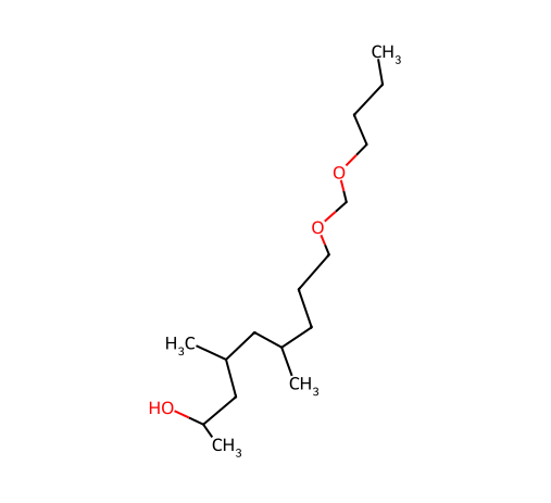 CCCCOCOCCCC(C)CC(C)CC(C)O